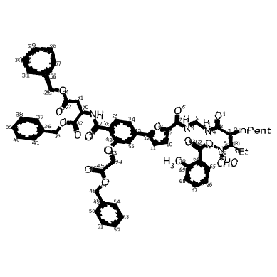 CCCCCC(C(=O)NCNC(=O)c1ccc(-c2ccc(C(=O)NC(CC(=O)OCc3ccccc3)C(=O)OCc3ccccc3)c(OCC(=O)OCc3ccccc3)c2)o1)[C@@H](CC)N(C=O)OC(=O)c1ccccc1C